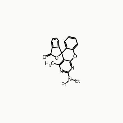 CCN(CC)c1nc(C)c2c(n1)Oc1ccccc1C21OC(=O)c2ccccc21